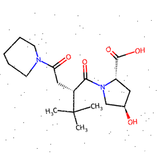 CC(C)(C)[C@H](CC(=O)N1CCCCC1)C(=O)N1C[C@H](O)C[C@H]1C(=O)O